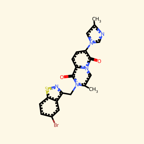 Cc1cn(-c2ccc3c(=O)n(Cc4nsc5ccc(Br)cc45)c(C)cn3c2=O)cn1